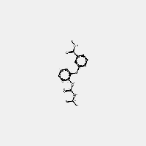 CNC(=O)c1cccc(Oc2ccccc2OC(=O)NC(C)C)c1